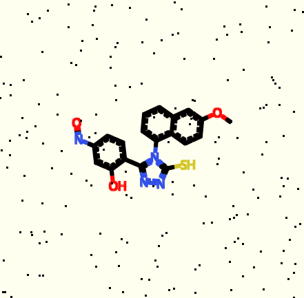 COc1ccc2c(-n3c(S)nnc3-c3ccc(N=O)cc3O)cccc2c1